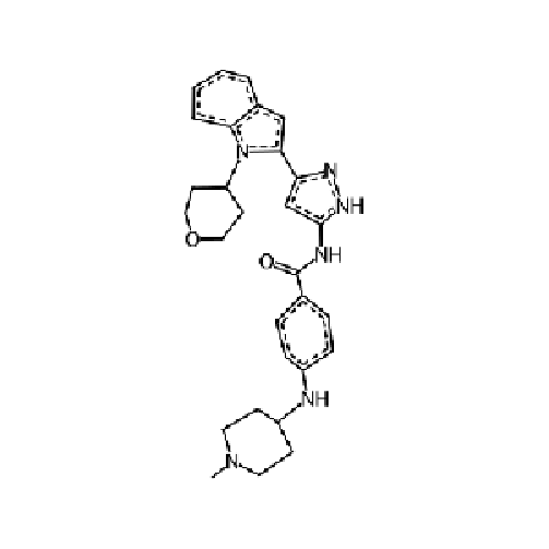 CN1CCC(Nc2ccc(C(=O)Nc3cc(-c4cc5ccccc5n4C4CCOCC4)n[nH]3)cc2)CC1